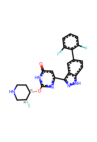 O=c1cc(-c2n[nH]c3ccc(-c4c(F)cccc4F)cc23)nc(O[C@H]2CCNC[C@H]2F)[nH]1